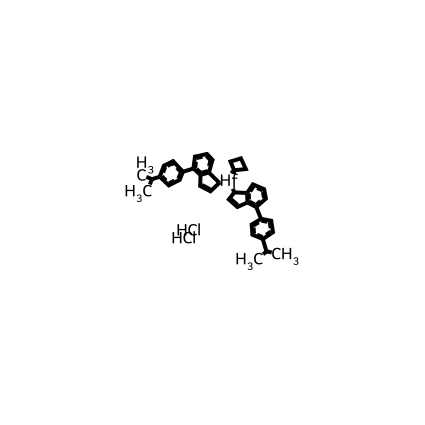 CC(C)c1ccc(-c2cccc3c2C=C[CH]3[Hf](=[C]2CCC2)[CH]2C=Cc3c(-c4ccc(C(C)C)cc4)cccc32)cc1.Cl.Cl